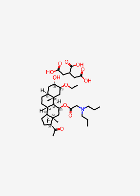 CCCN(CCC)CC(=O)O[C@H]1C[C@]2(C)[C@@H](C(C)=O)CC[C@H]2[C@@H]2CC[C@H]3C[C@H](O)[C@@H](OCC)C[C@]3(C)[C@H]21.O=C(O)CC(CC(=O)O)C(=O)O